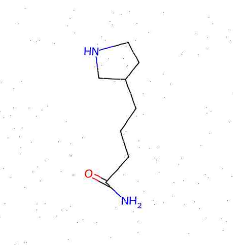 NC(=O)CCCC1CCNC1